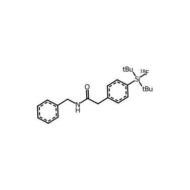 CC(C)(C)[Si]([18F])(c1ccc(CC(=O)NCc2ccccc2)cc1)C(C)(C)C